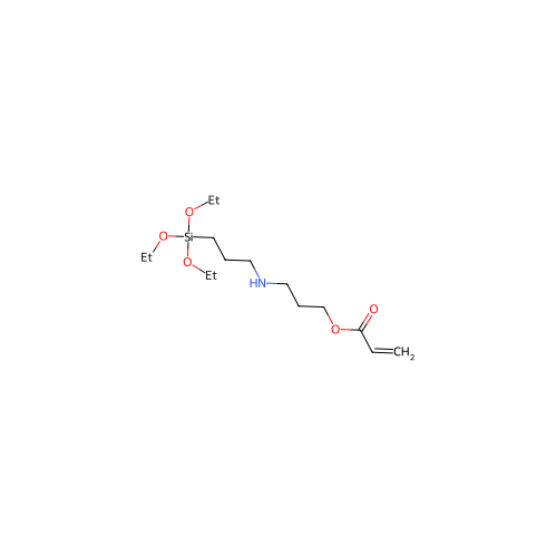 C=CC(=O)OCCCNCCC[Si](OCC)(OCC)OCC